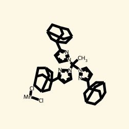 CC(n1ccc(C23CC4CC(CC(C4)C2)C3)n1)(n1ccc(C23CC4CC(CC(C4)C2)C3)n1)n1ccc(C23CC4CC(CC(C4)C2)C3)n1.[Cl][Mn][Cl]